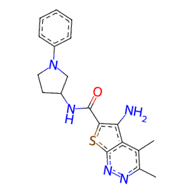 Cc1nnc2sc(C(=O)NC3CCN(c4ccccc4)C3)c(N)c2c1C